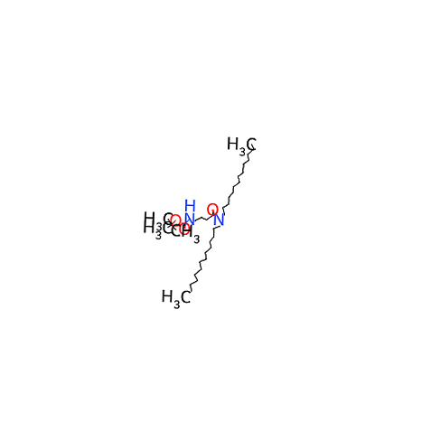 CCCCCCCCCCCCCCN(CCCCCCCCCCCCCC)C(=O)CCCNC(=O)OC(C)(C)C